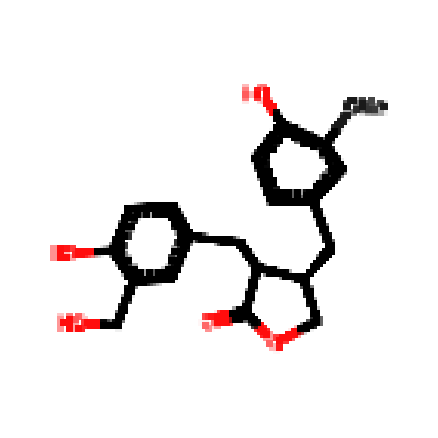 COc1cc(C[C@H]2COC(=O)C2Cc2ccc(O)c(CO)c2)ccc1O